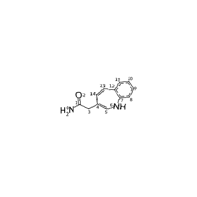 NC(=O)CC1=CNc2ccccc2C=C1